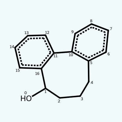 OC1CCCc2ccccc2-c2ccccc21